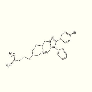 C=C(C)CCCC1CCC(Cn2nc(C3C=CC(CC)=CC3)c(-c3ccccc3)c2CCC)CC1